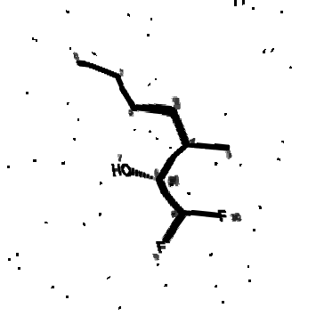 CCCCC(C)[C@@H](O)C(F)F